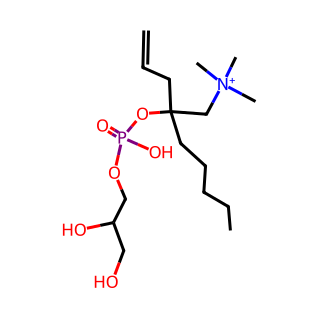 C=CCC(CCCCC)(C[N+](C)(C)C)OP(=O)(O)OCC(O)CO